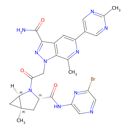 Cc1ncc(-c2cc3c(C(N)=O)nn(CC(=O)N4[C@H](C(=O)Nc5cncc(Br)n5)C[C@@]5(C)C[C@@H]45)c3c(C)n2)cn1